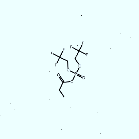 CCC(=O)OP(=O)(OCC(F)(F)F)OCC(F)(F)F